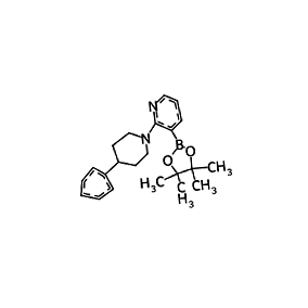 CC1(C)OB(c2cccnc2N2CCC(c3ccccc3)CC2)OC1(C)C